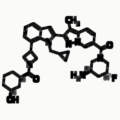 Cc1c(-c2cc3cccc(C4CN(C(=O)[C@@H]5CCC[C@H](O)C5)C4)c3n2CC2CC2)nn2cc(C(=O)N3C[C@H](N)C[C@@H](F)C3)ccc12